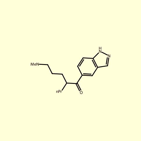 CCCC(CCCNC)C(=O)c1ccc2[nH]ncc2c1